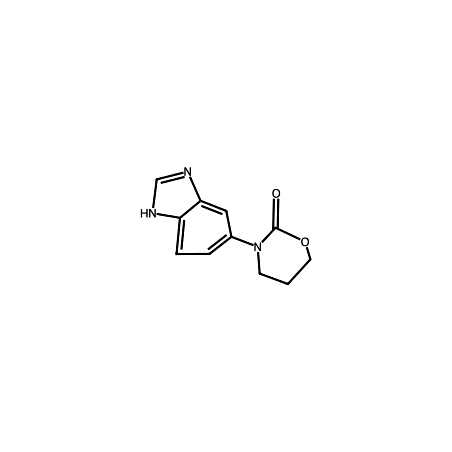 O=C1OCCCN1c1ccc2[nH]cnc2c1